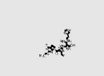 CCOc1nc(F)c2ccn(C(=O)c3sc(NC4SN=C(O)C4C(=N)NCCC4CNCO4)nc3CF)c2n1